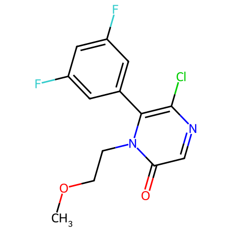 COCCn1c(-c2cc(F)cc(F)c2)c(Cl)ncc1=O